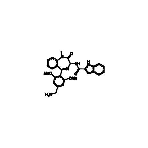 COc1cc(CN)cc(OC)c1C1=NC(NC(=O)c2cc3ccccc3[nH]2)C(=O)N(C)c2ccccc21